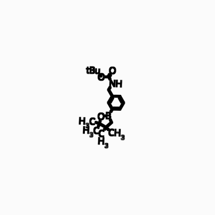 CC(C)(C)OC(=O)NCc1cccc(B2CC(C)(C)C(C)(C)O2)c1